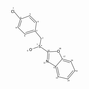 [O-][S+](Cc1ccc(Cl)cc1)c1nc2ccccc2o1